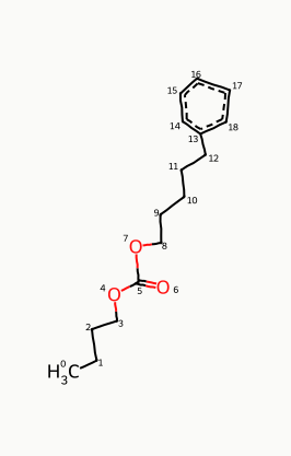 CCCCOC(=O)OCCCCCc1ccccc1